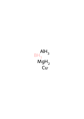 B.[AlH3].[Cu].[MgH2]